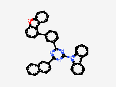 c1cc(-c2nc(-c3ccc4ccccc4c3)nc(-n3c4ccccc4c4ccccc43)n2)cc(-c2cccc3oc4ccccc4c23)c1